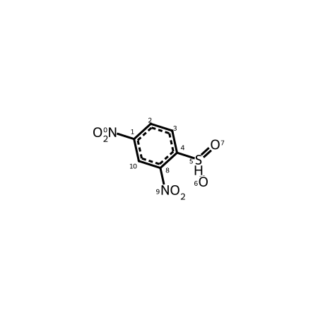 O=[N+]([O-])c1ccc([SH](=O)=O)c([N+](=O)[O-])c1